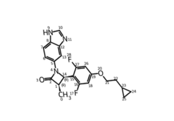 C[C@H]1C(=O)N(c2ccc3[nH]cnc3c2)[C@H]1c1c(F)cc(OCCC2CC2)cc1F